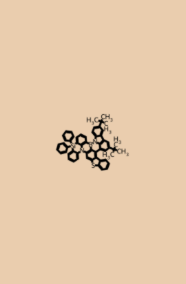 CC(C)(C)c1ccc2c(c1)c1cc(C(C)(C)C)cc3c1n2B1c2cccc4c2N(c2ccccc2[Si]4(c2ccccc2)c2ccccc2)c2cc4sc5ccccc5c4c-3c21